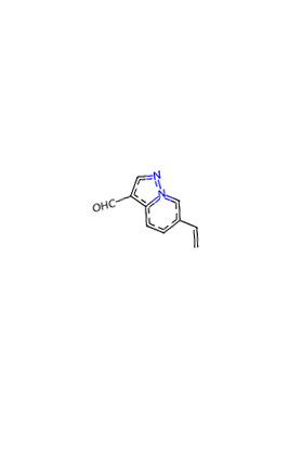 C=Cc1ccc2c(C=O)cnn2c1